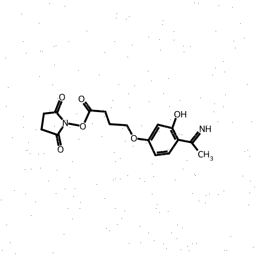 CC(=N)c1ccc(OCCCC(=O)ON2C(=O)CCC2=O)cc1O